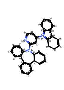 C1=CC2c3ccccc3-c3ccccc3N(c3cc(-n4c5c(c6ccccc64)C=CCC5)ccn3)C2C=C1